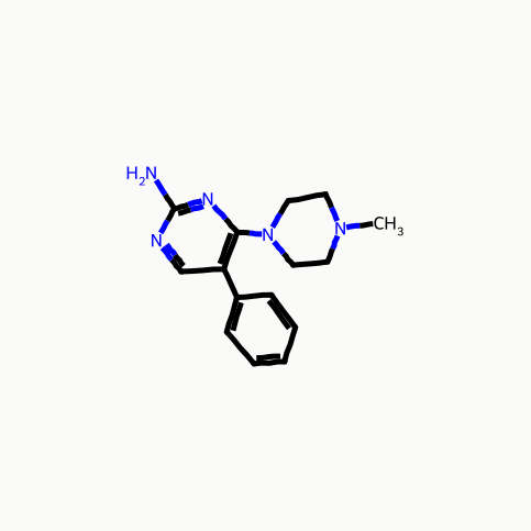 CN1CCN(c2nc(N)ncc2-c2ccccc2)CC1